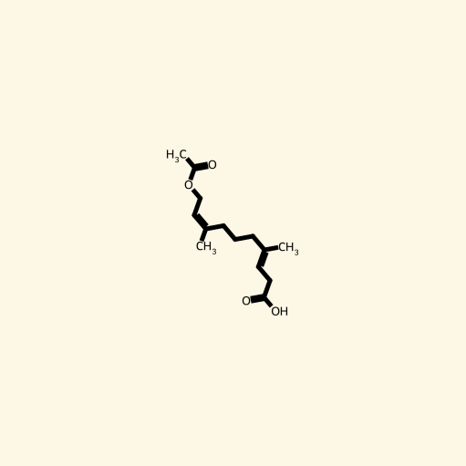 CC(=O)OCC=C(C)CCCC(C)=CCC(=O)O